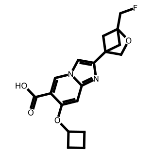 O=C(O)c1cn2cc(C34COC(CF)(C3)C4)nc2cc1OC1CCC1